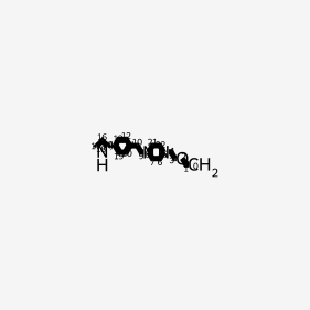 C=COCCN1CCN(CCc2ccc([C@H]3CCN3)cc2)CC1